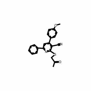 COc1ccc(-c2cc(-c3ccccc3)nc(SCC(C)=O)c2C#N)cc1